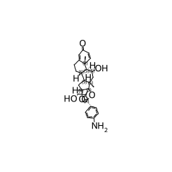 C[C@]12C=CC(=O)C=C1CC[C@@H]1[C@@H]2[C@@H](O)C[C@@]2(C)[C@H]1C[C@H]1O[C@@H](c3ccc(N)cc3)O[C@]12C(=O)CO